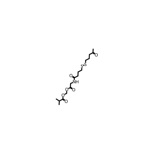 CC(=O)CCCSSCCCC(=O)NCC(=O)OCOC(=O)C(C)C